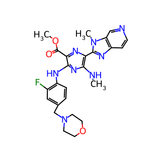 CNc1nc(Nc2ccc(CN3CCOCC3)cc2F)c(C(=O)OC)nc1-c1nc2ccncc2n1C